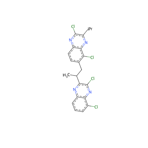 CC(C)c1nc2c(Cl)c(CC(C)c3nc4cccc(Cl)c4nc3Cl)ccc2nc1Cl